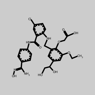 CCOc1cc(C(O)CO)cc(CNc2ccc(Cl)cc2C(=O)Nc2ccc(/C(N)=N/O)cc2)c1OCC(=O)O